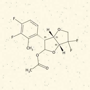 CC(=O)OC1O[C@@H]2[C@@H](OCC2(F)F)[C@H]1c1ccc(F)c(F)c1C